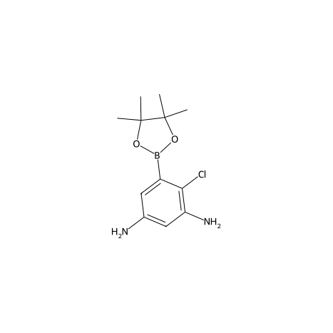 CC1(C)OB(c2cc(N)cc(N)c2Cl)OC1(C)C